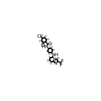 O=C(Nc1ccc(Nc2cccc3nc(C(F)F)cn23)cc1)c1ccc(Cl)cc1Cl